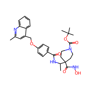 Cc1cc(COc2ccc(C(=O)NC(C)C3(C(=O)NO)CCN(C(=O)OC(C)(C)C)CC3)cc2)c2ccccc2n1